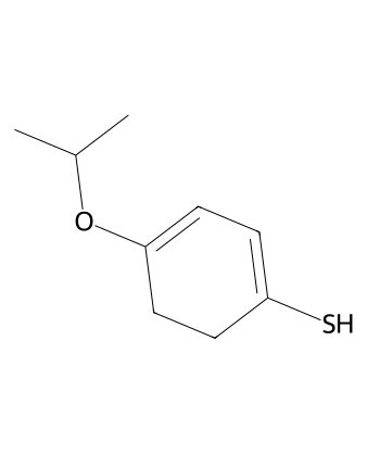 CC(C)OC1=CC=C(S)CC1